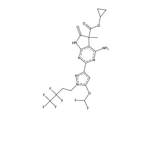 CC1(C(=O)OC2CC2)C(=O)Nc2nc(-c3cc(OC(F)F)n(CCC(F)(F)C(F)(F)F)n3)nc(N)c21